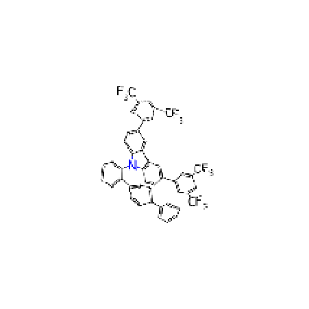 FC(F)(F)c1cc(-c2ccc3c(c2)c2cc(-c4cc(C(F)(F)F)cc(C(F)(F)F)c4)ccc2n3-c2ccccc2-c2ccc(-c3ccccc3)cc2)cc(C(F)(F)F)c1